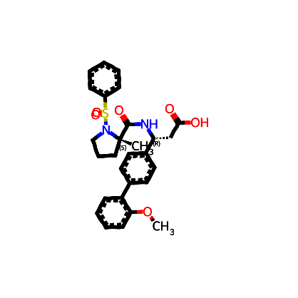 COc1ccccc1-c1ccc([C@@H](CC(=O)O)NC(=O)[C@]2(C)CCCN2S(=O)(=O)c2ccccc2)cc1